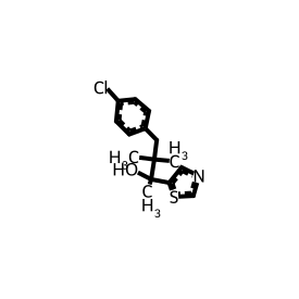 CC(C)(Cc1ccc(Cl)cc1)C(C)(O)c1cncs1